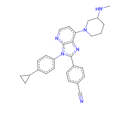 CNC1CCCN(c2ccnc3c2nc(-c2ccc(C#N)cc2)n3-c2ccc(C3CC3)cc2)C1